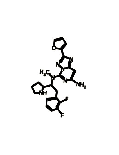 CN(c1nc(N)cc2nc(-c3ccco3)nn12)C(Cc1cccc(F)c1F)C1CCCN1